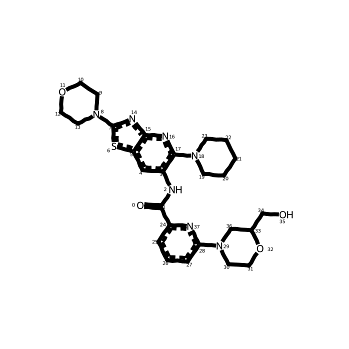 O=C(Nc1cc2sc(N3CCOCC3)nc2nc1N1CCCCC1)c1cccc(N2CCOC(CO)C2)n1